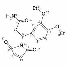 CCOc1ccc(C(CC(N)=O)N2C(=O)C=CC2=O)cc1OCC